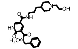 CN(Cc1ccccc1)C(=O)c1cc(C(=O)NCCCC2CCN(CCO)CC2)c[nH]c1=O